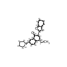 CCn1cc(-c2nc3ccccc3o2)c(=O)c2cc(N3CCCCC3)ccc21